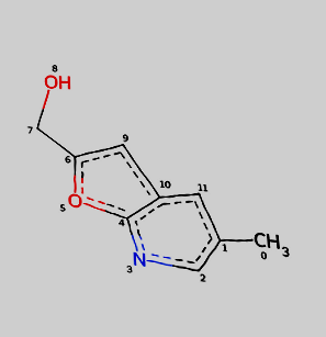 Cc1cnc2oc(CO)cc2c1